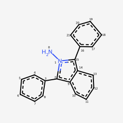 Nn1c(-c2ccccc2)c2ccccc2c1-c1ccccc1